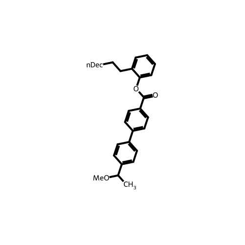 CCCCCCCCCCCCc1ccccc1OC(=O)c1ccc(-c2ccc(C(C)OC)cc2)cc1